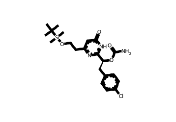 CC(C)(C)[Si](C)(C)OCCc1cc(=O)[nH]c([C@H](Cc2ccc(Cl)cc2)OC(N)=O)n1